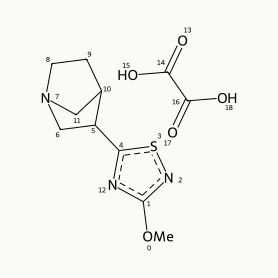 COc1nsc(C2CN3CCC2C3)n1.O=C(O)C(=O)O